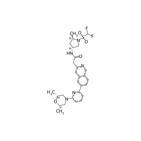 C[C@@H]1CN(c2cccc(-c3ccc4cnc(CC(=O)N[C@@H]5C[C@@H](C)N(S(=O)(=O)C(F)F)C5)cc4c3)n2)C[C@H](C)O1